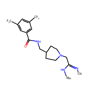 CC(C)(C)N/C(CN1CCC(CNC(=O)c2cc(C(F)(F)F)cc(C(F)(F)F)c2)CC1)=N\C#N